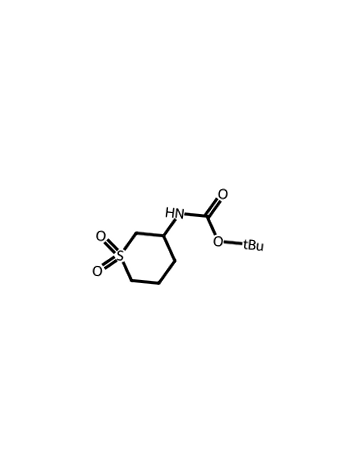 CC(C)(C)OC(=O)NC1CCCS(=O)(=O)C1